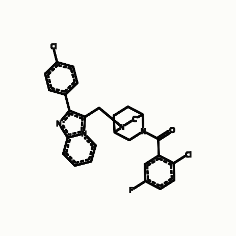 O=C(c1cc(F)ccc1Cl)N1CC2CCC1CN2Cc1c(-c2ccc(Cl)cc2)nc2ccccn12